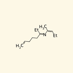 C=CCCC/C(CC)=N/C(C)=C\CC